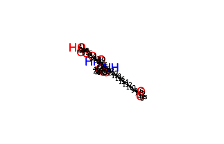 CC(C)(C)OC(=O)CCCCCCCCCCCCCCCCC(=O)NC(CCC(=O)NCCOCCOCC(=O)O)C(=O)OC(C)(C)C